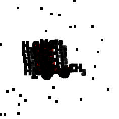 CCCCCCOP(=O)([O-])OCCCCCC.CCCCCCOP(=O)([O-])OCCCCCC.CCCCCCOP(=O)([O-])OCCCCCC.CCCCCCOP(=O)([O-])OCCCCCC.CCCCCCOP(=O)([O-])OCCCCCC.CCCCCCOP(=O)([O-])OCCCCCC.[Mo+6]